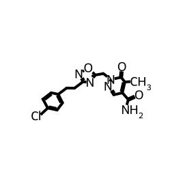 Cc1c(C(N)=O)cnn(Cc2nc(CCc3ccc(Cl)cc3)no2)c1=O